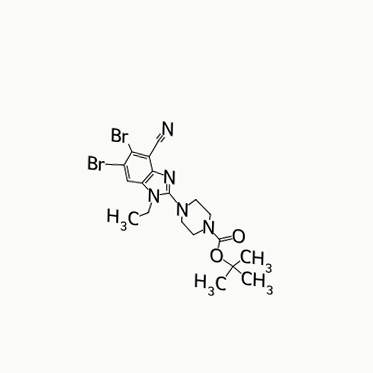 CCn1c(N2CCN(C(=O)OC(C)(C)C)CC2)nc2c(C#N)c(Br)c(Br)cc21